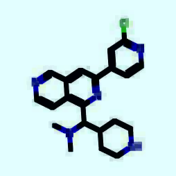 CN(C)C(c1nc(-c2ccnc(Cl)c2)cc2cnccc12)C1CCNCC1